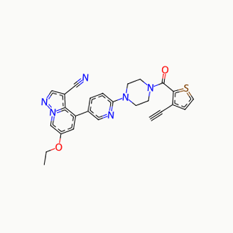 C#Cc1ccsc1C(=O)N1CCN(c2ccc(-c3cc(OCC)cn4ncc(C#N)c34)cn2)CC1